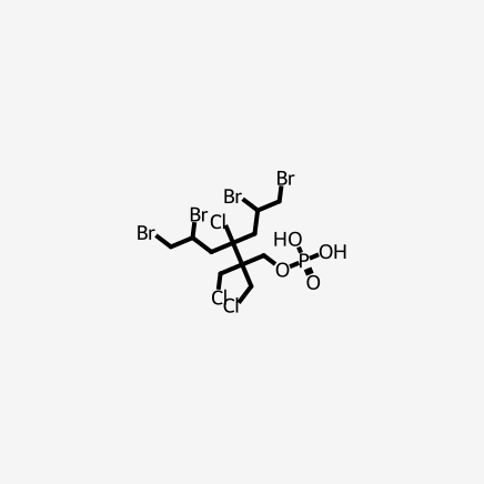 O=P(O)(O)OCC(CCl)(CCl)C(Cl)(CC(Br)CBr)CC(Br)CBr